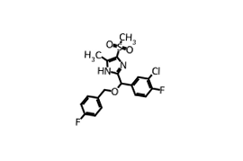 Cc1[nH]c(C(OCc2ccc(F)cc2)c2ccc(F)c(Cl)c2)nc1S(C)(=O)=O